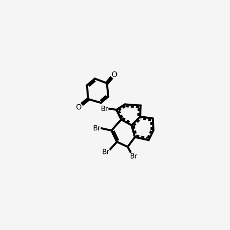 BrC1=C(Br)C(Br)c2cccc3ccc(Br)c1c23.O=C1C=CC(=O)C=C1